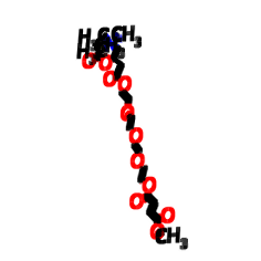 COC(=O)/C=C/C(=O)OCCOCCOCCOCCOC(=O)C[C@H](C[N+](C)(C)C)OC(C)=O